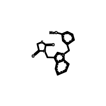 COc1cccc(Cn2cc(CN3C(=O)CSC3=O)c3ccccc32)c1